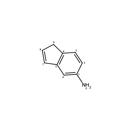 Nc1ccc2c(c1)C=CC2